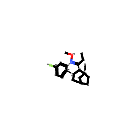 CCC(=NOC)[C@@H]1[C@H]2CCC(C2)C[C@@H]1c1ccc(F)cc1